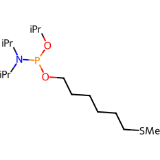 CSCCCCCCOP(OC(C)C)N(C(C)C)C(C)C